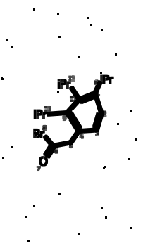 CC(C)c1ccc(CC(=O)Br)c(C(C)C)c1C(C)C